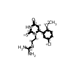 COc1ccc(Cl)cc1-c1cc(=O)[nH]c(=S)n1CCN=C(N)N